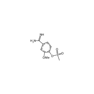 COc1cc(C(=N)N)ccc1OS(C)(=O)=O